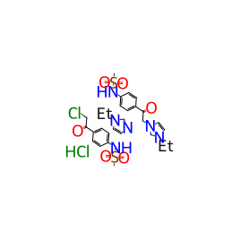 CCN1C=CN(CC(=O)c2ccc(NS(C)(=O)=O)cc2)C1.CCn1ccnc1.CS(=O)(=O)Nc1ccc(C(=O)CCl)cc1.Cl